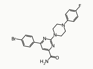 NC(=O)c1cc(-c2ccc(Br)cc2)nc(N2CCN(c3ccc(F)cc3)CC2)n1